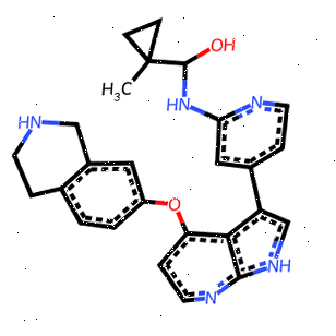 CC1(C(O)Nc2cc(-c3c[nH]c4nccc(Oc5ccc6c(c5)CNCC6)c34)ccn2)CC1